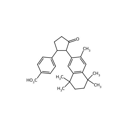 Cc1cc2c(cc1C1C(=O)CCC1c1ccc(C(=O)O)cc1)C(C)(C)CCC2(C)C